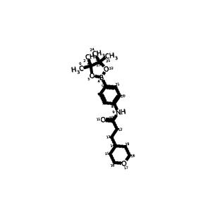 CC1(C)OB(c2ccc(NC(=O)CCC3CCOCC3)cc2)OC1(C)C